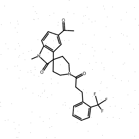 CC(=O)c1ccc2c(c1)C1(CCN(C(=O)CCc3ccccc3C(F)(F)F)CC1)C(=O)N2C